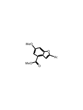 COC(=O)c1cc(OC)cc2oc(C(C)=O)cc12